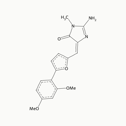 COc1ccc(-c2ccc(/C=C3/N=C(N)N(C)C3=O)o2)c(OC)c1